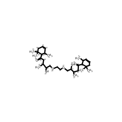 CC1C=CCC(C)(C)C1C(=O)CC(C)C(S)COCCOCC(S)C(C)CC(=O)C1C(C)C=CCC1(C)C